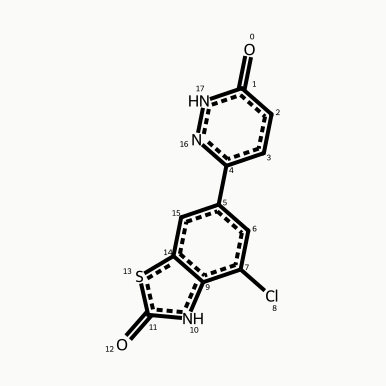 O=c1ccc(-c2cc(Cl)c3[nH]c(=O)sc3c2)n[nH]1